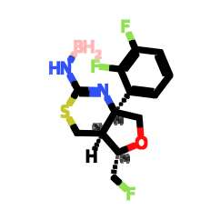 BNC1=N[C@@]2(c3cccc(F)c3F)CO[C@H](CF)[C@H]2CS1